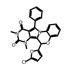 Cn1c(=O)c2c(-c3ccccc3)n3c(c2n(C)c1=O)C(c1ccc(Cl)o1)Oc1ccccc1-3